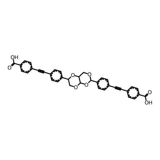 O=C(O)c1ccc(C#Cc2ccc(C3COC4OC(c5ccc(C#Cc6ccc(C(=O)O)cc6)cc5)OCC4O3)cc2)cc1